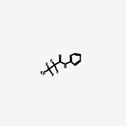 O=C(Nc1ccccc1)C(F)(F)C(F)(F)C(F)(F)F